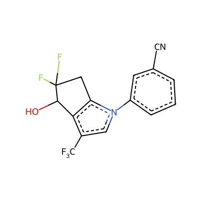 N#Cc1cccc(-n2cc(C(F)(F)F)c3c2CC(F)(F)C3O)c1